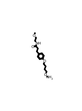 COCCNC(=O)CCc1ccc(OCCCCON)cc1